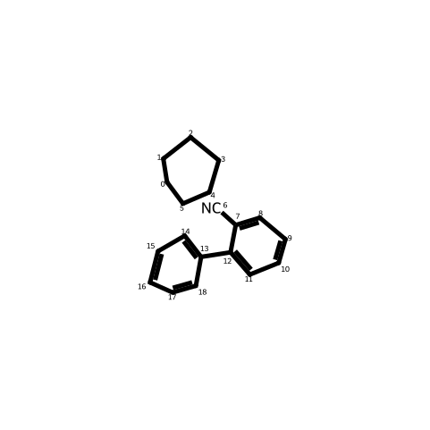 C1CCCCC1.N#Cc1ccccc1-c1ccccc1